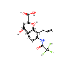 C=CCc1c(NC(=O)C(F)(F)F)ccc2c(=O)cc(C(=O)O)oc12